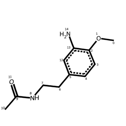 COc1ccc(CCNC(C)=O)cc1N